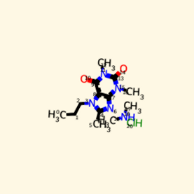 CCCn1c(C)nc2c1c(=O)n(C)c(=O)n2C.CNC.Cl